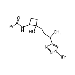 CC(C)C(=O)NC1CCC1(O)CCC(C)c1cn(C(C)C)nn1